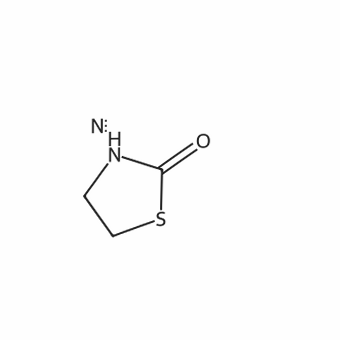 O=C1NCCS1.[N]